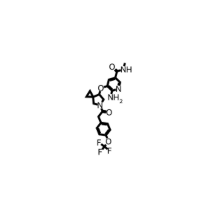 CNC(=O)c1cnc(N)c(OC2CN(C(=O)Cc3ccc(OC(F)(F)F)cc3)CC23CC3)c1